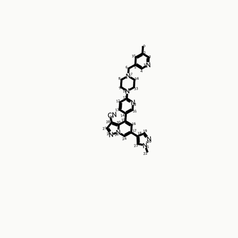 Cc1cncc(CN2CCN(c3ccc(-c4cc(-c5cnn(C)c5)cn5ncc(C#N)c45)cn3)CC2)c1